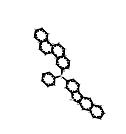 c1ccc(N(c2ccc3c(c2)oc2cc4ccccc4cc23)c2ccc3ccc4c5ccccc5ccc4c3c2)cc1